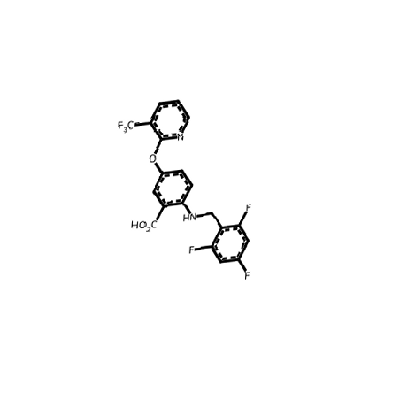 O=C(O)c1cc(Oc2ncccc2C(F)(F)F)ccc1NCc1c(F)cc(F)cc1F